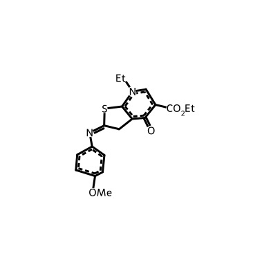 CCOC(=O)c1cn(CC)c2c(c1=O)C/C(=N\c1ccc(OC)cc1)S2